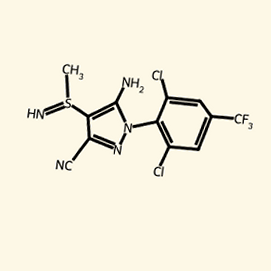 CS(=N)c1c(C#N)nn(-c2c(Cl)cc(C(F)(F)F)cc2Cl)c1N